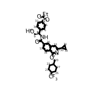 CCS(=O)(=O)c1ccc([C@H](CO)NC(=O)c2ccc3c(OCC4CCC(C(F)(F)F)CC4)nc(C4CC4)cc3c2)cc1